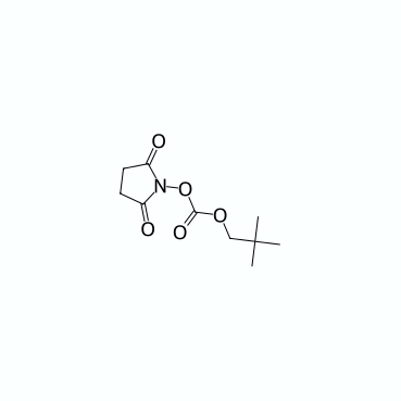 CC(C)(C)COC(=O)ON1C(=O)CCC1=O